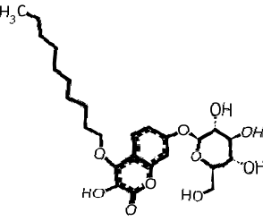 CCCCCCCCCCOc1c(O)c(=O)oc2cc(O[C@@H]3O[C@H](CO)[C@@H](O)[C@H](O)[C@H]3O)ccc12